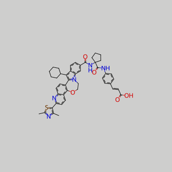 Cc1nc(C)c(-c2ccc3c4c(ccc3n2)-c2c(C3CCCCC3)c3ccc(C(=O)NC5(C(=O)Nc6ccc(/C=C/C(=O)O)cc6)CCCC5)cc3n2CCO4)s1